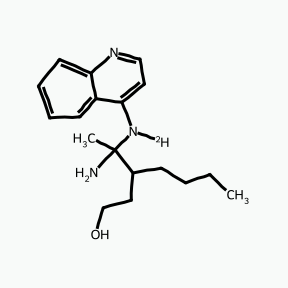 [2H]N(c1ccnc2ccccc12)C(C)(N)C(CCO)CCCC